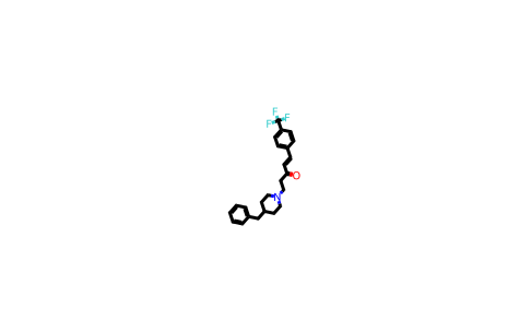 O=C(/C=C/c1ccc(C(F)(F)F)cc1)CCN1CCC(Cc2ccccc2)CC1